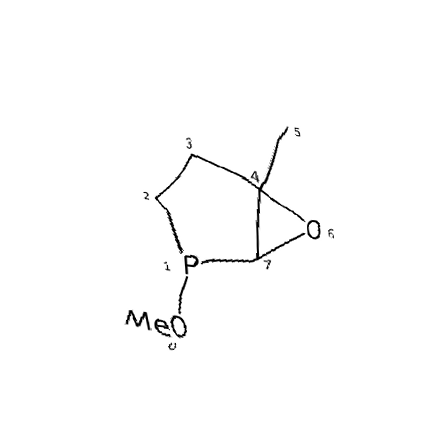 COP1CCC2(C)OC12